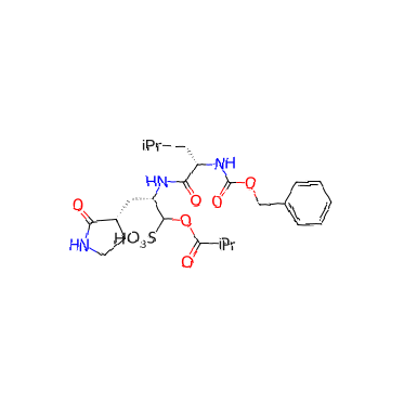 CC(C)C[C@H](NC(=O)OCc1ccccc1)C(=O)N[C@@H](C[C@@H]1CCNC1=O)C(OC(=O)C(C)C)S(=O)(=O)O